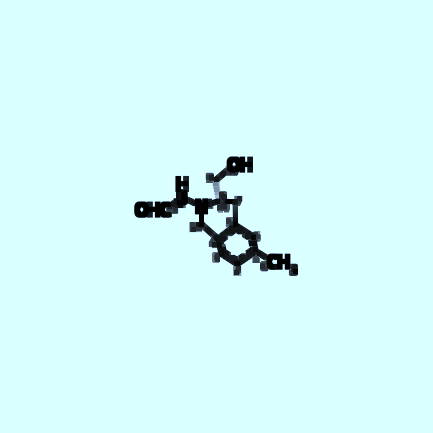 Cc1ccc2c(c1)C[C@@H](CO)N(BC=O)C2